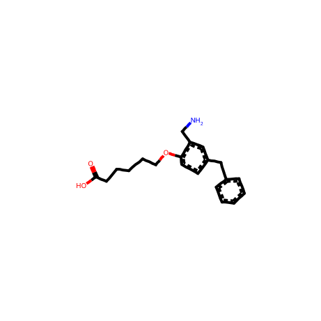 NCc1cc(Cc2ccccc2)ccc1OCCCCCC(=O)O